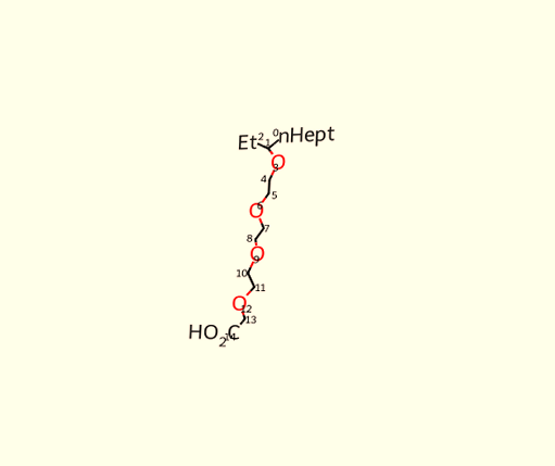 CCCCCCCC(CC)OCCOCCOCCOCC(=O)O